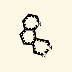 c1cnc2c(c1)ccc1cnncc12